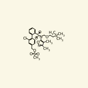 Cc1noc(N(COCC[Si](C)(C)C)S(=O)(=O)c2ccccc2-c2ccc(COS(C)(=O)=O)cc2Cl)c1C